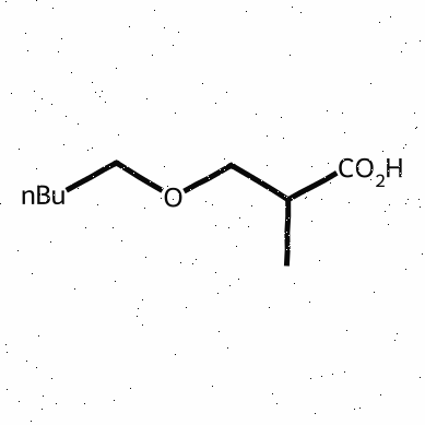 CCCCCOCC(C)C(=O)O